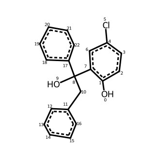 Oc1ccc(Cl)cc1C(O)(Cc1ccccc1)c1ccccc1